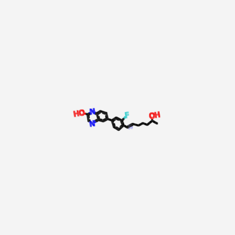 CC(O)CCC/C=C/c1ccc(-c2ccc3nc(O)cnc3c2)cc1F